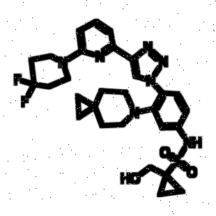 O=S(=O)(Nc1ccc(-n2cc(-c3cccc(N4CCC(F)(F)CC4)n3)nn2)c(N2CCC3(CC2)CC3)c1)C1(CO)CC1